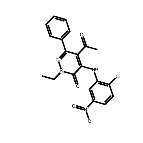 CCn1nc(-c2ccccc2)c(C(C)=O)c(Nc2cc([N+](=O)[O-])ccc2Cl)c1=O